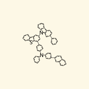 c1ccc(-c2ccc3c4ccccc4n(-c4cc(-c5ccc(N(c6ccccc6)c6ccc(-c7ccc8ccccc8c7)cc6)cc5)c5sc6ccccc6c5c4)c3c2)cc1